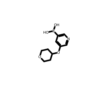 OB(O)c1cncc(OC2CCOCC2)c1